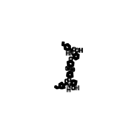 C=Cc1ccc(C(=O)Nc2c(O)cccc2Oc2ccc(S(=O)(=O)c3ccc(Oc4cccc(O)c4NC(=O)c4ccc(C=C)cc4)cc3)cc2)cc1